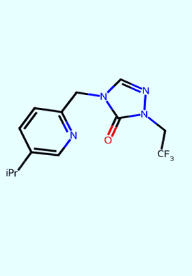 CC(C)c1ccc(Cn2cnn(CC(F)(F)F)c2=O)nc1